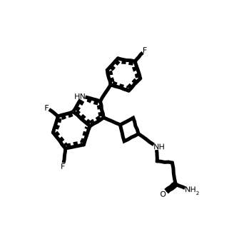 NC(=O)CCNC1CC(c2c(-c3ccc(F)cc3)[nH]c3c(F)cc(F)cc23)C1